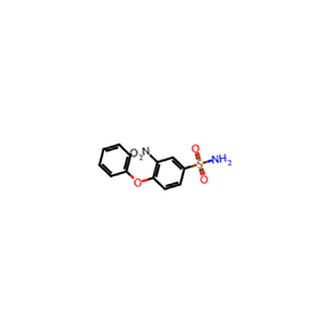 NS(=O)(=O)c1ccc(Oc2ccccc2)c([N+](=O)[O-])c1